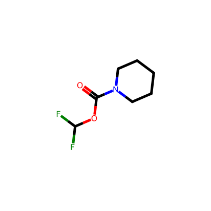 O=C(OC(F)F)N1CCCCC1